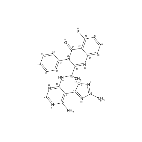 Cc1noc(-c2c(N)ncnc2NC(C)c2nc3cccc(F)c3c(=O)n2-c2ccccc2)n1